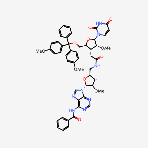 COc1ccc(C(OC[C@H]2O[C@@H](n3ccc(=O)[nH]c3=O)[C@H](OC)[C@@H]2CC(=O)NC[C@H]2[CH][C@@H](OC)[C@H](n3cnc4c(NC(=O)c5ccccc5)ncnc43)O2)(c2ccccc2)c2ccc(OC)cc2)cc1